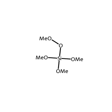 COO[Si](OC)(OC)OC